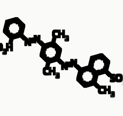 Cc1cc(N=Nc2ccc(C)c3c(S(=O)(=O)O)cccc23)c(C)cc1N=Nc1ccccc1S(=O)(=O)O